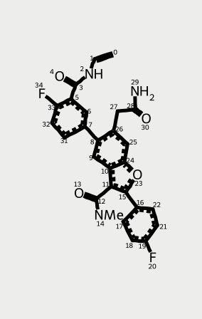 C=CNC(=O)c1cc(-c2cc3c(C(=O)NC)c(-c4ccc(F)cc4)oc3cc2CC(N)=O)ccc1F